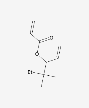 C=CC(=O)OC(C=C)C(C)(C)CC